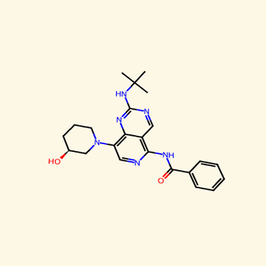 CC(C)(C)Nc1ncc2c(NC(=O)c3ccccc3)ncc(N3CCC[C@H](O)C3)c2n1